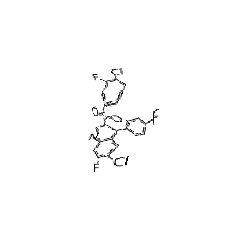 O=S(=O)(c1ccc(Cl)c(F)c1)c1cnc2cc(F)c(Cl)cc2c1-c1ccc(F)cc1